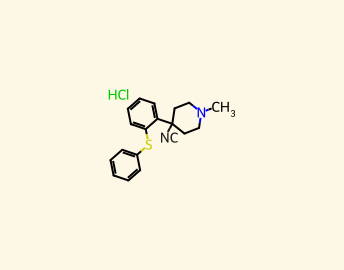 CN1CCC(C#N)(c2ccccc2Sc2ccccc2)CC1.Cl